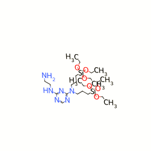 CCO[Si](CCCN(CCC[Si](OCC)(OCC)OCC)c1ncnc(NCCN)n1)(OCC)OCC